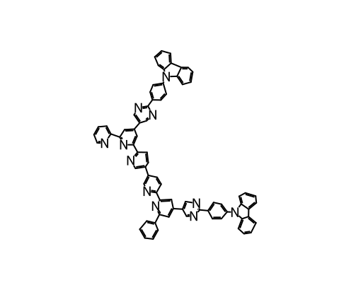 c1ccc(-c2cc(-c3cnc(-c4ccc(-n5c6ccccc6c6ccccc65)cc4)nc3)cc(-c3ccc(-c4ccc(-c5cc(-c6cnc(-c7ccc(-n8c9ccccc9c9ccccc98)cc7)nc6)cc(-c6ccccn6)n5)nc4)cn3)n2)cc1